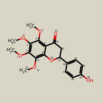 COc1c(OC)c(OC)c2c(c1OC)OC(c1ccc(O)cc1)CC2=O